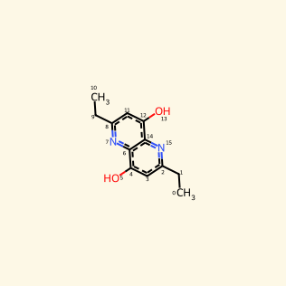 CCc1cc(O)c2nc(CC)cc(O)c2n1